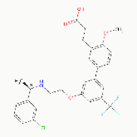 COc1ccc(-c2cc(OCCN[C@H](C)c3cccc(Cl)c3)cc(C(F)(F)F)c2)cc1CCC(=O)O